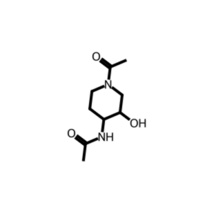 CC(=O)NC1CCN(C(C)=O)CC1O